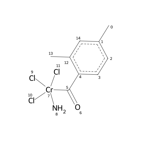 Cc1ccc([C](=O)[Cr]([NH2])([Cl])([Cl])[Cl])c(C)c1